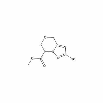 COC(=O)C1COCc2cc(Br)nn21